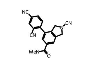 CNC(=O)c1cc2c(c(-c3ccc(C#N)cc3C#N)c1)CN(C#N)C2